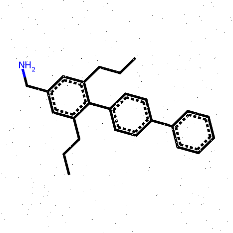 CCCc1cc(CN)cc(CCC)c1-c1ccc(-c2ccccc2)cc1